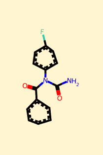 NC(=O)N(C(=O)c1ccccc1)c1ccc(F)cc1